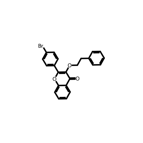 O=c1c(OCCc2ccccc2)c(-c2ccc(Br)cc2)oc2ccccc12